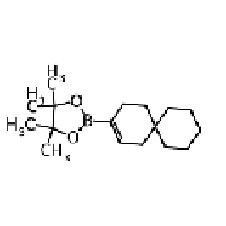 CC1(C)OB(C2=CCC3(CCCCC3)CC2)OC1(C)C